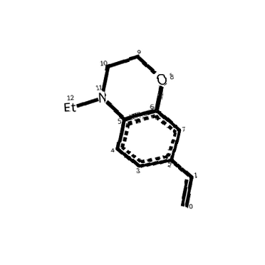 C=Cc1ccc2c(c1)OCCN2CC